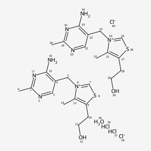 Cc1ncc(C[n+]2csc(CCO)c2C)c(N)n1.Cc1ncc(C[n+]2csc(CCO)c2C)c(N)n1.Cl.Cl.O.[Cl-].[Cl-]